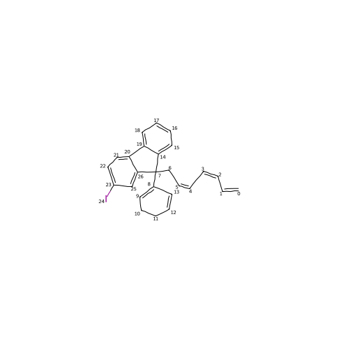 C=C/C=C\C=C/CC1(C2=CCCC=C2)c2ccccc2-c2ccc(I)cc21